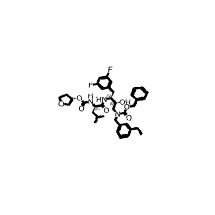 CCc1cccc(CN(C[C@@H](O)[C@H](Cc2cc(F)cc(F)c2)NC(=O)[C@@H](CC(C)C)NC(=O)O[C@H]2CCOC2)C(=O)OCc2ccccc2)c1